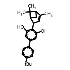 CC1=CC(c2c(O)cc(-c3ccc(C(C)(C)C)cc3)cc2O)C2CC1C2(C)C